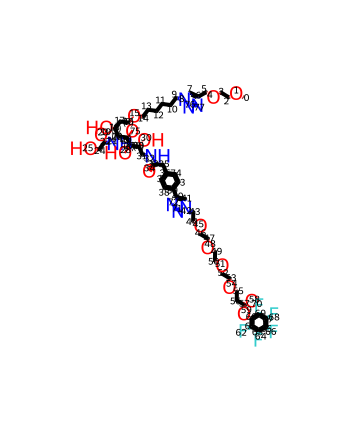 COCCOCc1cn(CCCCCCO[C@H]2C[C@H](O)[C@@H](NC(=O)CO)[C@H]([C@H](O)[C@H](O)CNC(=O)Cc3ccc(-c4cn(CCOCCOCCOCCOCCC(=O)Oc5c(F)c(F)c(F)c(F)c5F)nn4)cc3)O2)nn1